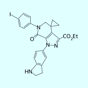 CCOC(=O)c1nn(-c2ccc3c(c2)CCN3)c2c1C1(CC1)CN(c1ccc(I)cc1)C2=O